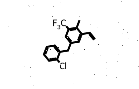 C=Cc1cc(Cc2ccccc2Cl)cc(C(F)(F)F)c1C